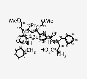 CC[C@H](C)[C@H](NC(=O)[C@H]1CCCCN1C)C(=O)N(CCOC)[C@H](C[C@@H](OCOC)c1nc(C(=O)N[C@@H](Cc2ccccc2)C[C@H](C)C(=O)O)cs1)C(C)C